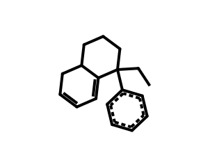 CCC1(c2ccccc2)CCCC2CC=CC=C21